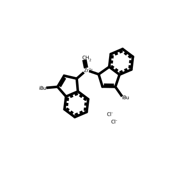 [CH2]=[Zr+2]([CH]1C=C(C(C)CC)c2ccccc21)[CH]1C=C(C(C)CC)c2ccccc21.[Cl-].[Cl-]